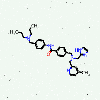 CCCN(CCC)Cc1ccc(NC(=O)c2ccc(CN(Cc3cc(C)ccn3)Cc3ncc[nH]3)cc2)cc1